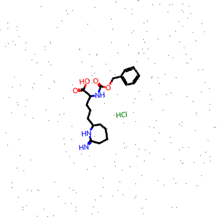 Cl.N=C1CCCCC(CCCC(NC(=O)OCc2ccccc2)C(=O)O)N1